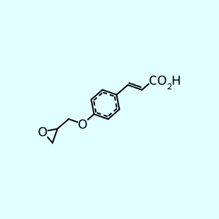 O=C(O)/C=C/c1ccc(OCC2CO2)cc1